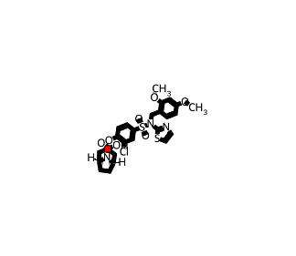 COc1ccc(CN(c2nccs2)S(=O)(=O)c2ccc(O[C@@H]3C[C@H]4CC[C@@H](C3)N4C(=O)O)c(Cl)c2)c(OC)c1